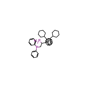 PC(CP(c1ccccc1)c1ccccc1)[C]12[CH]3[CH]4[C]5(C6CCCCC6)[C]1(C1CCCCC1)[Fe]34251678[CH]2[CH]1[CH]6[CH]7[CH]28